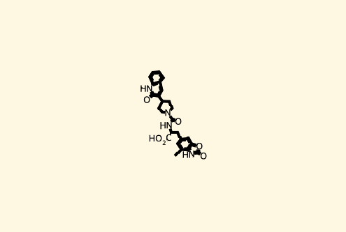 Cc1cc(C[C@@H](NC(=O)N2CCC(c3cc4ccccc4[nH]c3=O)CC2)C(=O)O)cc2oc(=O)[nH]c12